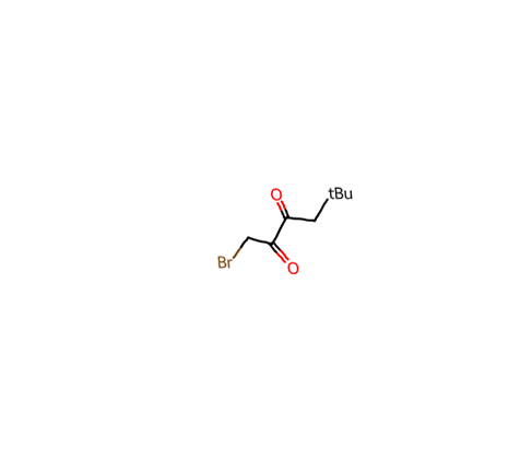 CC(C)(C)CC(=O)C(=O)CBr